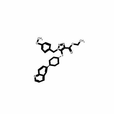 CCOC(=O)c1nnn(Cc2ccc(OC)cc2)c1S[C@H]1CC[C@H](c2ccc3ncccc3c2)CC1